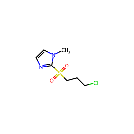 Cn1ccnc1S(=O)(=O)CCCCl